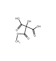 COC(=O)C(O)(C(=O)O)C(=O)O